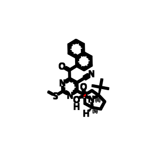 CSc1nc(C(=O)c2cccc3ccccc23)c(C#N)c(N2C[C@@H]3CC[C@@](C(C)(C)C)(C2)N3C(=O)O)n1